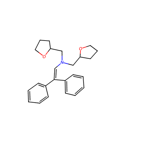 C(=C(c1ccccc1)c1ccccc1)N(CC1CCCO1)CC1CCCO1